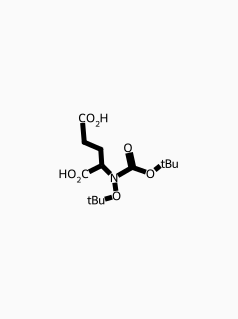 CC(C)(C)OC(=O)N(OC(C)(C)C)C(CCC(=O)O)C(=O)O